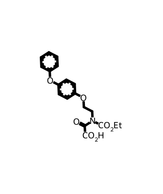 CCOC(=O)N(CCOc1ccc(Oc2ccccc2)cc1)C(=O)C(=O)O